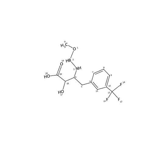 COBNC(Cc1cccc(C(F)(F)F)c1)C(O)C(=O)O